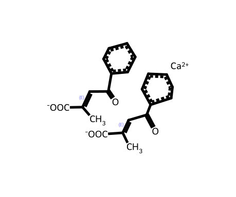 C/C(=C\C(=O)c1ccccc1)C(=O)[O-].C/C(=C\C(=O)c1ccccc1)C(=O)[O-].[Ca+2]